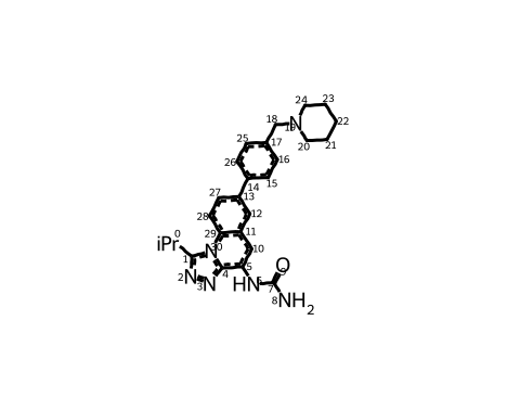 CC(C)c1nnc2c(NC(N)=O)cc3cc(-c4ccc(CN5CCCCC5)cc4)ccc3n12